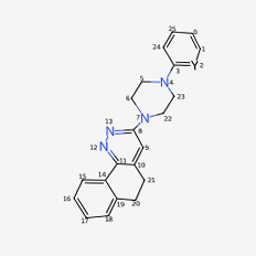 C1=[CH][Y]=[C](N2CCN(c3cc4c(nn3)-c3ccccc3CC4)CC2)C=C1